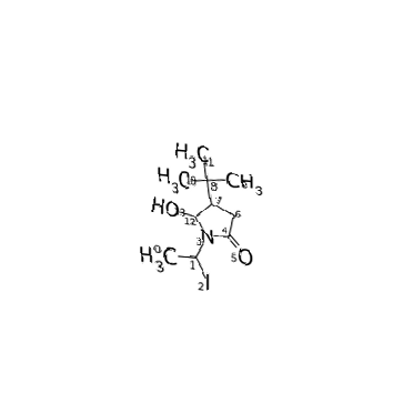 CC(I)N1C(=O)CC(C(C)(C)C)C1O